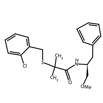 COC[C@H](Cc1ccccc1)NC(=O)C(C)(C)SCc1ccccc1Cl